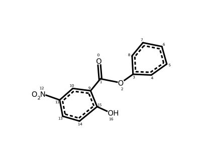 O=C(Oc1ccccc1)c1cc([N+](=O)[O-])ccc1O